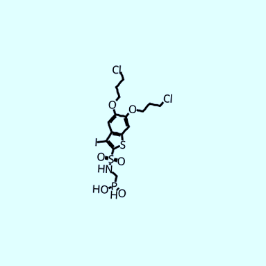 O=[PH](O)CNS(=O)(=O)c1sc2cc(OCCCCl)c(OCCCCl)cc2c1I